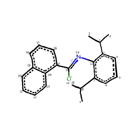 CC(C)c1cccc(C(C)C)c1/N=C(\Cl)c1cccc2ccccc12